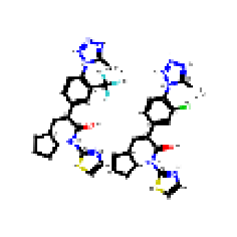 Cc1nnnn1-c1ccc(C(CC2CCCC2)C(=O)Nc2nccs2)cc1C(F)(F)F.Cc1nnnn1-c1ccc(C(CC2CCCC2)C(=O)Nc2nccs2)cc1Cl